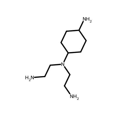 NCCN(CCN)C1CCC(N)CC1